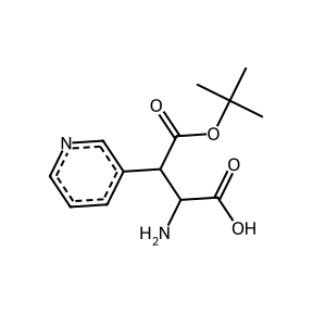 CC(C)(C)OC(=O)C(c1cccnc1)C(N)C(=O)O